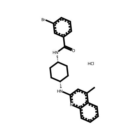 Cc1cc(N[C@H]2CC[C@@H](NC(=O)c3cccc(Br)c3)CC2)nc2ccccc12.Cl